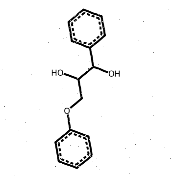 OC(COc1ccccc1)C(O)c1ccccc1